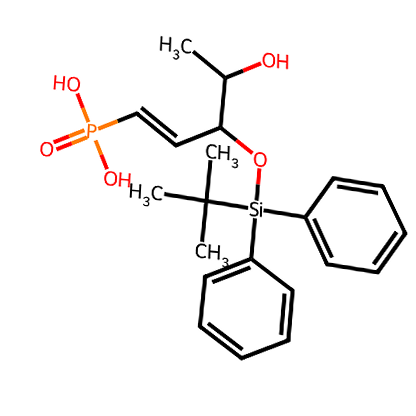 CC(O)C(C=CP(=O)(O)O)O[Si](c1ccccc1)(c1ccccc1)C(C)(C)C